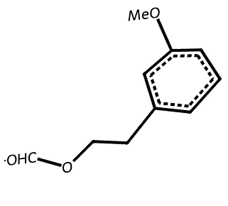 COc1cccc(CCO[C]=O)c1